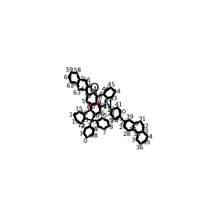 c1ccc(C2(c3ccccc3)c3ccccc3-c3ccc(N(c4ccc(-c5ccc6c(ccc7ccccc76)c5)cc4)c4ccccc4-c4cccc5c4oc4cc6ccccc6cc45)cc32)cc1